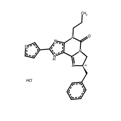 CCCN1C(=O)N2C[C@@H](Cc3ccccc3)N=C2c2[nH]c(-c3ccsc3)nc21.Cl